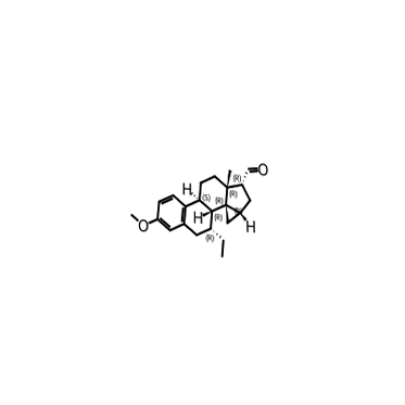 CC[C@@H]1Cc2cc(OC)ccc2[C@H]2CC[C@]3(C)[C@H](C=O)C[C@@H]4C[C@]43[C@H]12